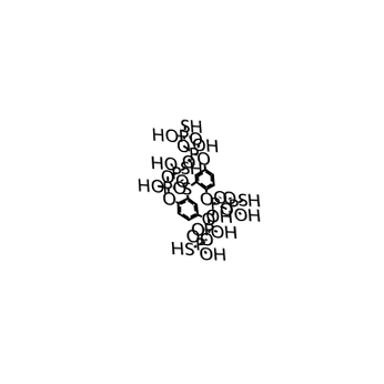 O=P(O)(S)OP(=O)(O)Oc1ccc(OP(=O)(O)OP(=O)(O)S)c(Sc2cc(OP(=O)(O)OP(=O)(O)S)ccc2OP(=O)(O)OP(=O)(O)S)c1